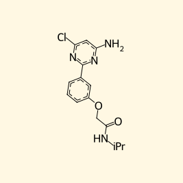 CC(C)NC(=O)COc1cccc(-c2nc(N)cc(Cl)n2)c1